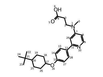 CN(CCC(=O)O)c1ccnc(-c2ccc(OC3CCC(C(C)(C)C)CC3)cc2)c1